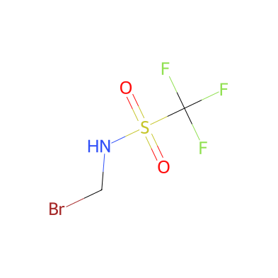 O=S(=O)(NCBr)C(F)(F)F